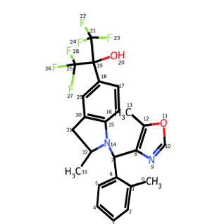 Cc1ccccc1C(c1ncoc1C)N1c2ccc(C(O)(C(F)(F)F)C(F)(F)F)cc2CC1C